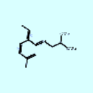 C=C(C)\C=C/C(/C=N/CC(OC)OC)=C\C